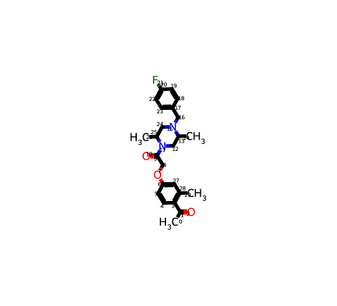 CC(=O)c1ccc(OCC(=O)N2CC(C)N(Cc3ccc(F)cc3)CC2C)cc1C